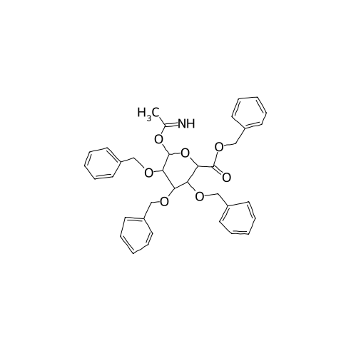 CC(=N)OC1OC(C(=O)OCc2ccccc2)C(OCc2ccccc2)C(OCc2ccccc2)C1OCc1ccccc1